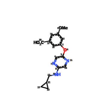 COc1cc(Oc2cnc(NCC3CC3)cn2)cc(C(=O)O)c1